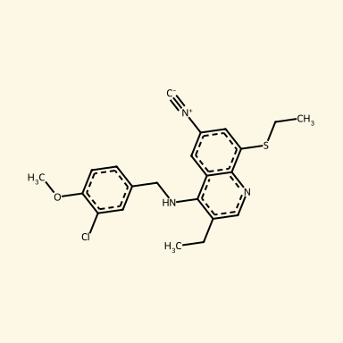 [C-]#[N+]c1cc(SCC)c2ncc(CC)c(NCc3ccc(OC)c(Cl)c3)c2c1